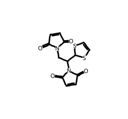 O=C1C=CC(=O)N1CC(C1SC=CS1)N1C(=O)C=CC1=O